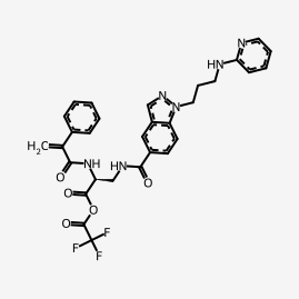 C=C(C(=O)N[C@@H](CNC(=O)c1ccc2c(cnn2CCCNc2ccccn2)c1)C(=O)OC(=O)C(F)(F)F)c1ccccc1